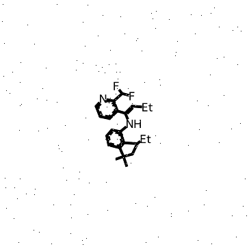 CCC=C(Nc1cccc2c1C(CC)CC2(C)C)c1cccnc1C(F)F